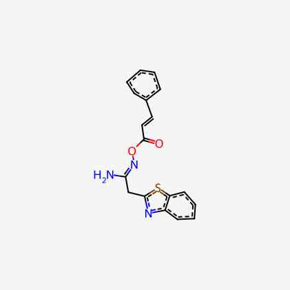 NC(Cc1nc2ccccc2s1)=NOC(=O)C=Cc1ccccc1